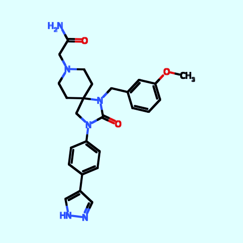 COc1cccc(CN2C(=O)N(c3ccc(-c4cn[nH]c4)cc3)CC23CCN(CC(N)=O)CC3)c1